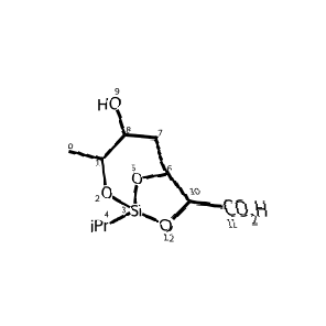 CC1O[Si]2(C(C)C)OC(CC1O)C(C(=O)O)O2